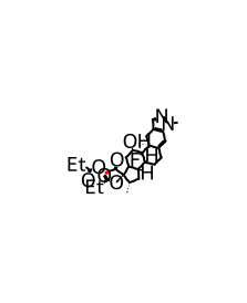 CCC(=O)OCC(=O)[C@]1(OC(=O)CC)C2C[C@H](O)[C@@]3(F)[C@@H](CCC4=Cc5c(cnn5C)C[C@@]43C)[C@@H]2C[C@@H]1C